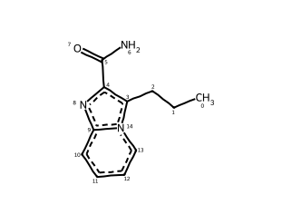 CCCc1c(C(N)=O)nc2ccccn12